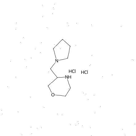 C1CCN(CC2COCCN2)C1.Cl.Cl